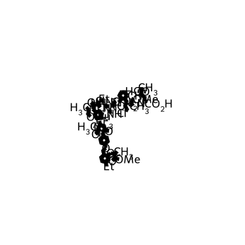 CC1COc2ccccc2N1C(=O)C(Cl)Cl.CCNc1nc(Cl)nc(NC(C)(C)C)n1.CCc1ccc(COc2ccc(-n3c(=O)cc(C(F)(F)F)n(C)c3=O)cc2)c(OC(C)C(=O)OC)c1.CCc1cccc(C)c1N(C(=O)CCl)C(C)COC.CP(=O)(O)CCC(N)C(=O)O